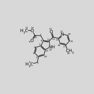 CCc1ccc2c(CC(=O)OC)c(C(=O)c3cc(C)ccn3)[nH]c2c1